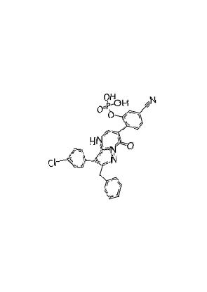 N#Cc1ccc(-c2c[nH]c3c(-c4ccc(Cl)cc4)c(Cc4ccccc4)nn3c2=O)c(OP(=O)(O)O)c1